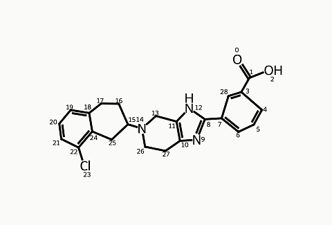 O=C(O)c1cccc(-c2nc3c([nH]2)CN(C2CCc4cccc(Cl)c4C2)CC3)c1